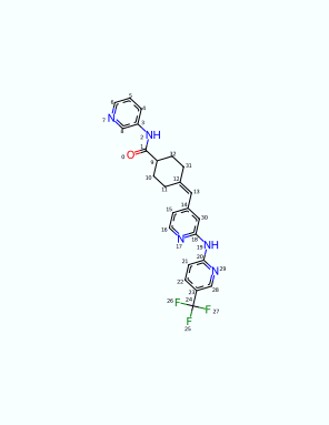 O=C(Nc1cccnc1)C1CCC(=Cc2ccnc(Nc3ccc(C(F)(F)F)cn3)c2)CC1